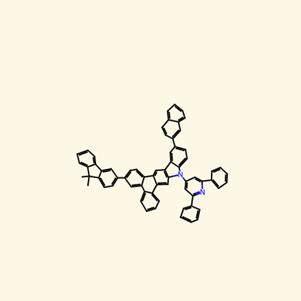 CC1(C)c2ccccc2-c2cc(-c3ccc4c(c3)c3ccccc3c3cc5c(cc43)c3cc(-c4ccc6ccccc6c4)ccc3n5-c3cc(-c4ccccc4)nc(-c4ccccc4)c3)ccc21